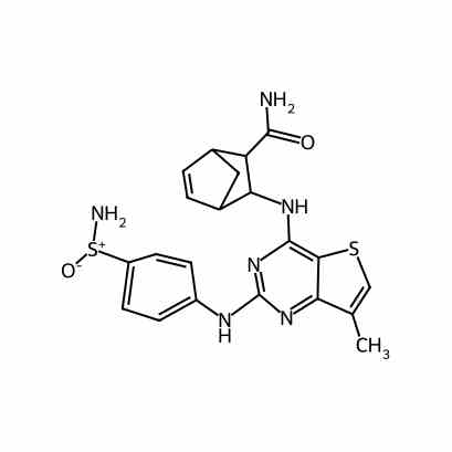 Cc1csc2c(NC3C4C=CC(C4)C3C(N)=O)nc(Nc3ccc([S+](N)[O-])cc3)nc12